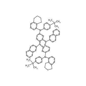 C[Si](C)(C)c1ccc(N(c2ccc3c(-c4ccc5ccccc5c4)c4cc(N(c5ccc([Si](C)(C)C)cc5)c5cccc6c5CCCC6)ccc4c(-c4ccc5ccccc5c4)c3c2)c2cccc3c2CCCC3)cc1